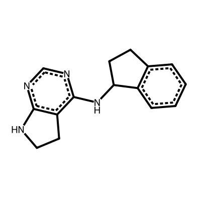 c1ccc2c(c1)CCC2Nc1ncnc2c1CCN2